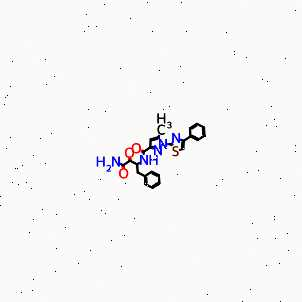 Cc1cc(C(=O)NC(Cc2ccccc2)C(=O)C(N)=O)nn1-c1nc(-c2ccccc2)cs1